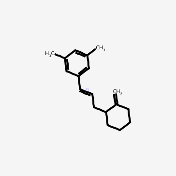 C=C1CCCCC1C/C=C/c1cc(C)cc(C)c1